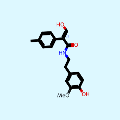 COc1cc(CCNC(=O)/C(=C/O)c2ccc(C)cc2)ccc1O